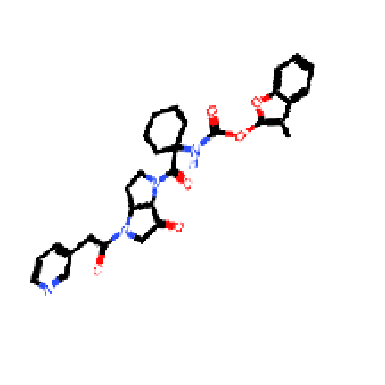 Cc1c(OC(=O)NC2(C(=O)N3CCC4C3C(=O)CN4C(=O)Cc3cccnc3)CCCCC2)oc2ccccc12